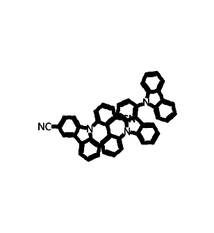 N#Cc1ccc2c(c1)c1ccccc1n2-c1cccc(C#N)c1-c1ccccc1-n1c2ccccc2c2c(-n3c4ccccc4c4ccccc43)cccc21